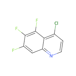 Fc1cc2nccc(Cl)c2c(F)c1F